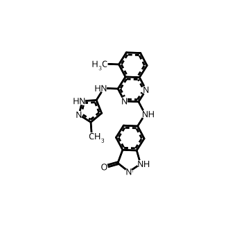 Cc1cc(Nc2nc(Nc3ccc4c(c3)N[N]C4=O)nc3cccc(C)c23)[nH]n1